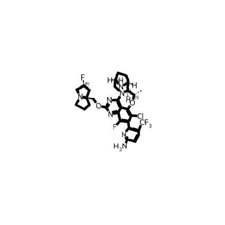 C[C@@H]1Oc2c(Cl)c(-c3nc(N)ccc3C(F)(F)F)c(F)c3nc(OC[C@@]45CCCN4C[C@H](F)C5)nc(c23)N2C[C@H]3CC[C@H](N3)[C@@H]12